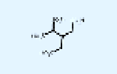 O=C(O)CN(CC(=O)O)C(S(=O)(=O)O)S(=O)(=O)O